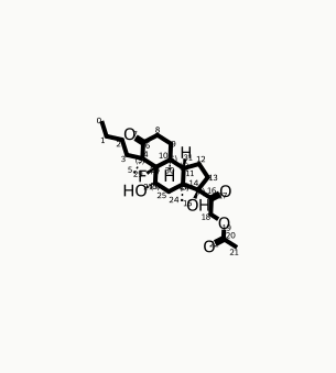 CCCC[C@@]1(C)C(=O)CC[C@H]2[C@@H]3CC[C@](O)(C(=O)COC(C)=O)[C@@]3(C)C[C@H](O)[C@@]21F